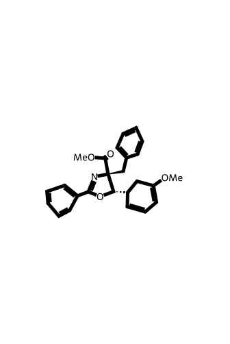 COC(=O)[C@@]1(Cc2ccccc2)N=C(c2ccccc2)O[C@H]1C1C=CC=C(OC)C1